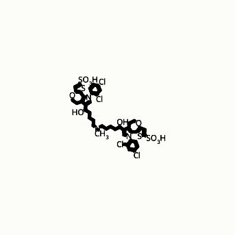 CN(CCCCC(O)c1cn(-c2ccc(Cl)cc2Cl)c2c1CCOc1cc(S(=O)(=O)O)sc1-2)CCCCC(O)c1cn(-c2ccc(Cl)cc2Cl)c2c1CCOc1cc(S(=O)(=O)O)sc1-2